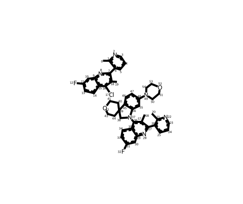 Cc1ncccc1-c1nc2cc(F)ccc2c(Cl)c1C.Cc1ncccc1-c1nc2cc(F)ccc2c(N2CC3(CCOCC3)c3ccc(N4CCOCC4)cc32)c1C